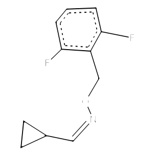 Fc1cccc(F)c1CO/N=[C]\C1CC1